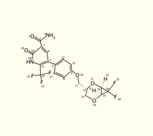 NC(=O)c1cc(-c2ccc(OC[C@H]3CO[C@H]4[C@@H](O3)C4(F)F)cc2)c(C(F)(F)F)[nH]c1=O